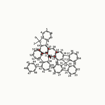 CC1(C)c2ccccc2-c2cc(N(c3ccc4c(c3)C3(c5ccccc5-c5ccccc53)c3ccccc3-4)c3cccc(-c4ccccc4)c3-c3ccccc3-c3ccccc3)ccc21